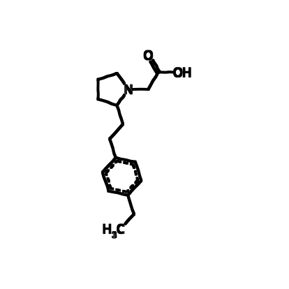 CCc1ccc(CCC2CCCN2CC(=O)O)cc1